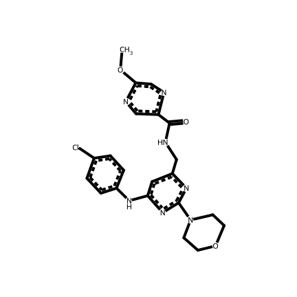 COc1cnc(C(=O)NCc2cc(Nc3ccc(Cl)cc3)nc(N3CCOCC3)n2)cn1